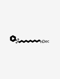 [CH2]CCCCCCCCCCCCCCCCCCC[Si](C)(C)c1ccccc1